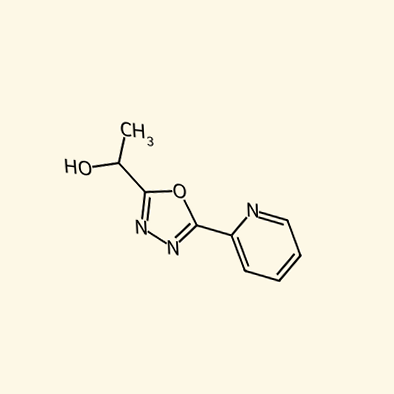 CC(O)c1nnc(-c2ccccn2)o1